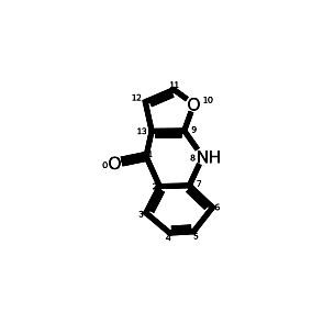 O=c1c2ccccc2[nH]c2occc12